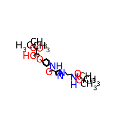 CC(C)(C)OC(=O)NCCCn1cc(C(=O)Nc2ccc(OC[C@@H](O)C(=O)OC(C)(C)C)cc2)cn1